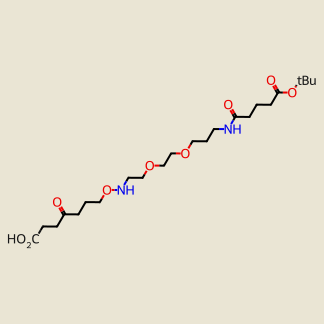 CC(C)(C)OC(=O)CCCC(=O)NCCCOCCOCCNOCCCC(=O)CCC(=O)O